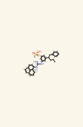 CCCC(Cc1ccccc1)c1cccc(NC(=N)Nc2ccc3c4c(cccc24)C=C3)c1.CS(=O)(=O)O